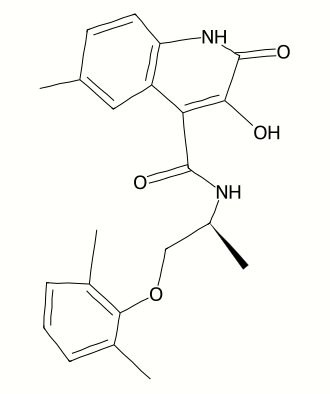 Cc1ccc2[nH]c(=O)c(O)c(C(=O)N[C@@H](C)COc3c(C)cccc3C)c2c1